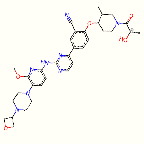 COc1nc(Nc2nccc(-c3ccc(OC4CCN(C(=O)[C@H](C)O)CC4C)c(C#N)c3)n2)ccc1N1CCN(C2COC2)CC1